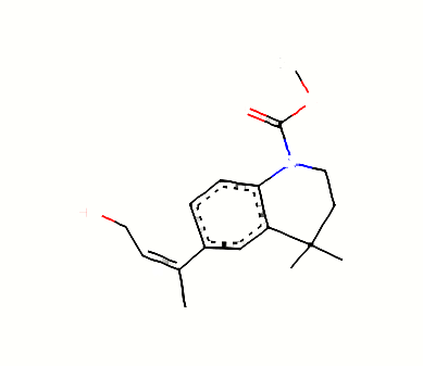 C/C(=C/CO)c1ccc2c(c1)C(C)(C)CCN2C(=O)OC(C)(C)C